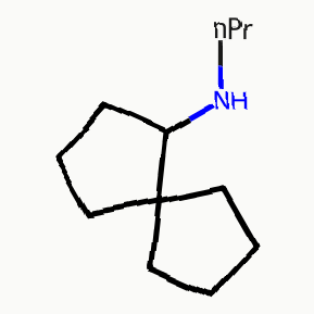 CCCNC1CCCC12CCCC2